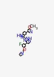 COc1cncc(-c2ccc3[nH]nc(-c4nc5c(-c6cc(F)cc(OCCN7CCCC7)c6)ccnc5[nH]4)c3c2)c1